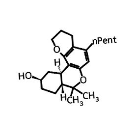 CCCCCc1cc2c(c3c1CCCO3)[C@@H]1C[C@H](O)CC[C@H]1C(C)(C)O2